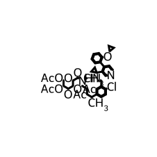 CC(=O)OC1OC(C(=O)N(C)CCCC(C)c2ccc(Cl)c(CNC3(c4cnccc4-c4ccccc4OC4CC4)CC3)c2)C(OC(C)=O)C(OC(C)=O)C1OC(C)=O